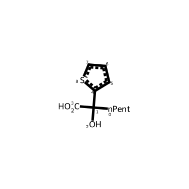 CCCCCC(O)(C(=O)O)c1cccs1